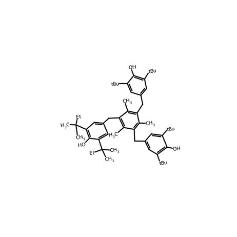 CCC(C)(C)c1cc(Cc2c(C)c(Cc3cc(C(C)(C)C)c(O)c(C(C)(C)C)c3)c(C)c(Cc3cc(C(C)(C)C)c(O)c(C(C)(C)C)c3)c2C)cc(C(C)(C)CC)c1O